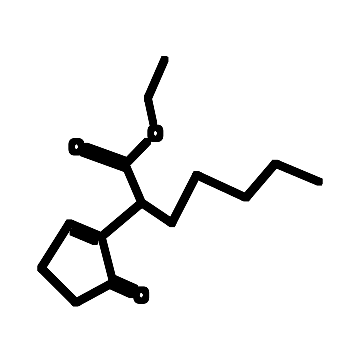 CCCCCC(C(=O)OCC)C1=CCCC1=O